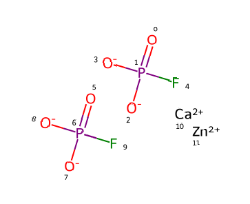 O=P([O-])([O-])F.O=P([O-])([O-])F.[Ca+2].[Zn+2]